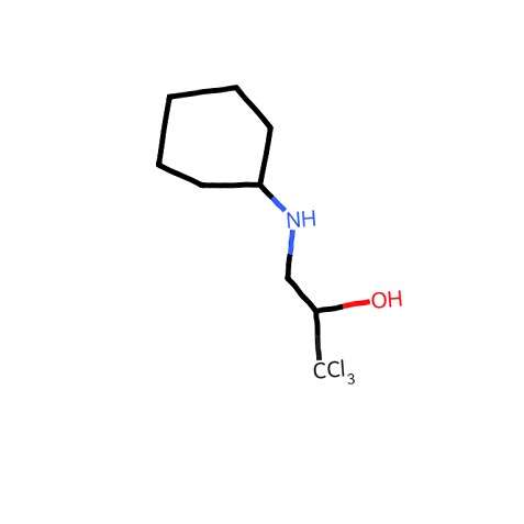 OC(CNC1CCCCC1)C(Cl)(Cl)Cl